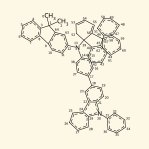 CC1(C)c2ccccc2-c2ccc(N(c3ccc(-c4ccc5c(c4)c4ccccc4n5-c4ccccc4)cc3)C3(c4ccccc4-c4ccccc4)CC=CC=C3c3ccccc3)cc21